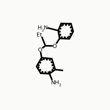 CCC(Oc1ccc(N)c(C)c1)Oc1ccccc1N